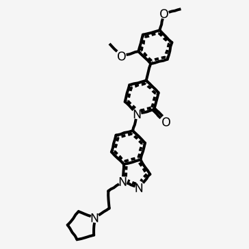 COc1ccc(-c2ccn(-c3ccc4c(cnn4CCN4CCCC4)c3)c(=O)c2)c(OC)c1